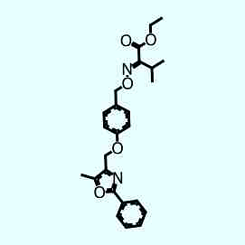 CCOC(=O)/C(=N/OCc1ccc(OCc2nc(-c3ccccc3)oc2C)cc1)C(C)C